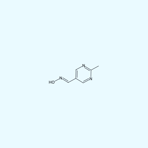 Cc1ncc(C=NO)cn1